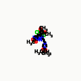 COc1cc(OC)c(Cl)c(-c2cc3cnc(S(C)(=O)=O)nc3n3nc(CCCN4CCN(C(=O)OC(C)(C)C)CC4)nc23)c1Cl